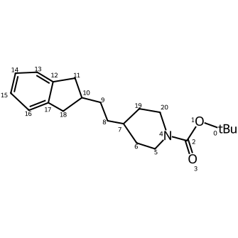 CC(C)(C)OC(=O)N1CCC(CCC2Cc3ccccc3C2)CC1